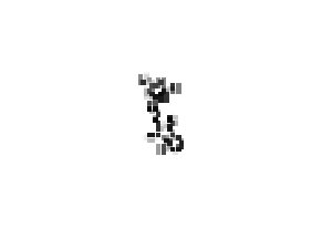 O=C1C2C3C=C[C@@H](C3)C2C(=O)N1CCOc1nc(Cl)nc(Cl)n1